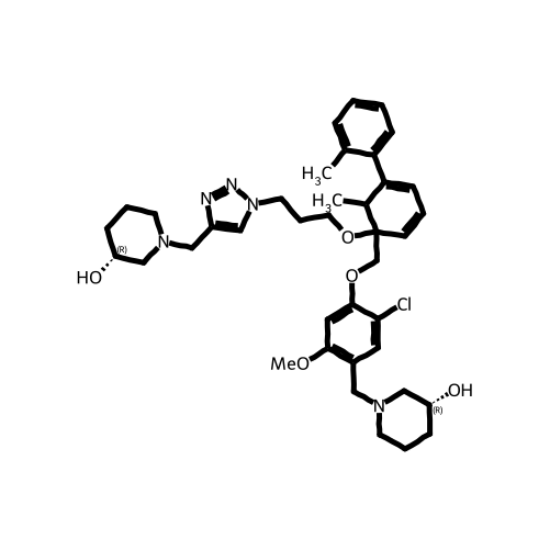 COc1cc(OCC2(OCCCn3cc(CN4CCC[C@@H](O)C4)nn3)C=CC=C(c3ccccc3C)C2C)c(Cl)cc1CN1CCC[C@@H](O)C1